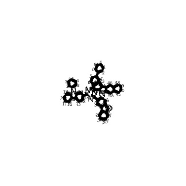 c1ccc(-c2ccc(-c3nc(-c4ccc5c6ccccc6n(-c6ccccc6)c5c4)nc(-c4cc5c(cc4-n4c6ccccc6c6cc7ccccc7cc64)oc4ccccc45)n3)cc2)cc1